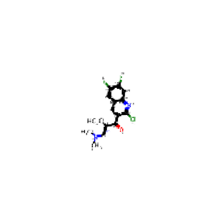 CN(C)/C=C(\C(=O)O)C(=O)c1cc2cc(F)c(F)cc2nc1Cl